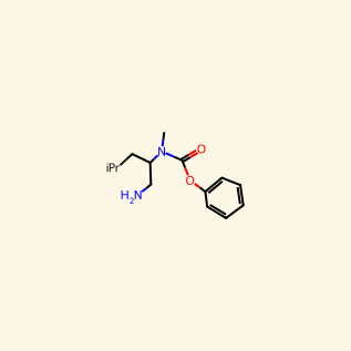 CC(C)CC(CN)N(C)C(=O)Oc1ccccc1